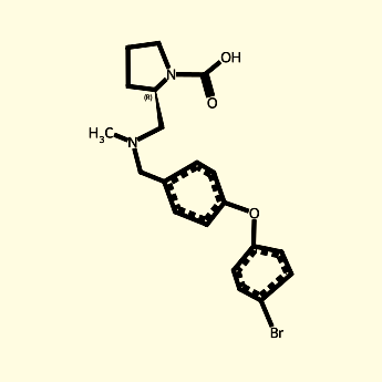 CN(Cc1ccc(Oc2ccc(Br)cc2)cc1)C[C@H]1CCCN1C(=O)O